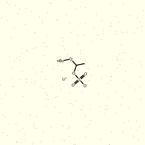 CCCCOC(C)OS(=O)(=O)[O-].[Li+]